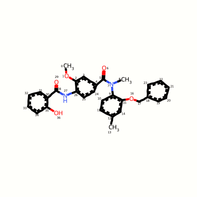 COc1cc(C(=O)N(C)c2ccc(C)cc2OCc2ccccc2)ccc1NC(=O)c1ccccc1O